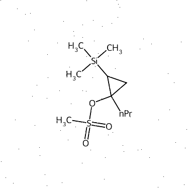 CCCC1(OS(C)(=O)=O)CC1[Si](C)(C)C